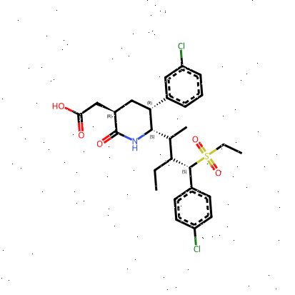 CCC(C(C)[C@@H]1NC(=O)[C@@H](CC(=O)O)C[C@@H]1c1cccc(Cl)c1)[C@@H](c1ccc(Cl)cc1)S(=O)(=O)CC